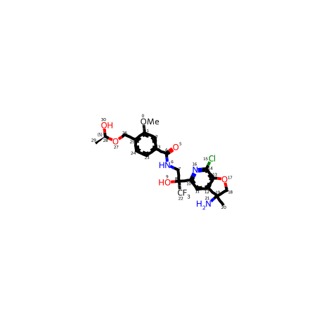 COc1cc(C(=O)NCC(O)(c2cc3c(c(Cl)n2)OCC3(C)N)C(F)(F)F)ccc1CO[C@@H](C)O